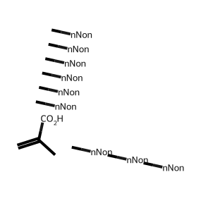 C=C(C)C(=O)O.CCCCCCCCCC.CCCCCCCCCC.CCCCCCCCCC.CCCCCCCCCC.CCCCCCCCCC.CCCCCCCCCC.CCCCCCCCCC.CCCCCCCCCC.CCCCCCCCCC